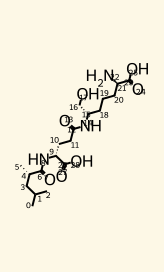 CC(C)C[C@H](C)C(=O)N[C@H](CCC(=O)N[C@H](CO)CCC[C@@H](N)C(=O)O)C(=O)O